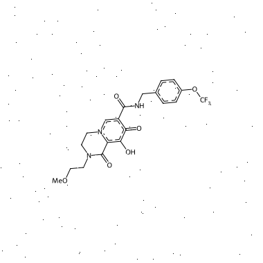 COCCN1CCn2cc(C(=O)NCc3ccc(OC(F)(F)F)cc3)c(=O)c(O)c2C1=O